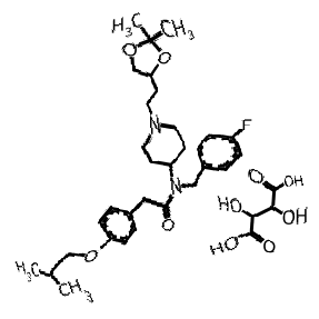 CC(C)COc1ccc(CC(=O)N(Cc2ccc(F)cc2)C2CCN(CCC3COC(C)(C)O3)CC2)cc1.O=C(O)C(O)C(O)C(=O)O